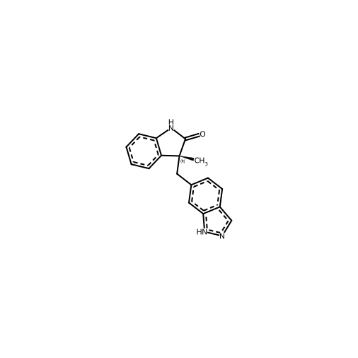 C[C@]1(Cc2ccc3cn[nH]c3c2)C(=O)Nc2ccccc21